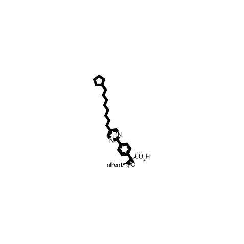 CCCCC[C@@H]1O[C@]1(C(=O)O)c1ccc(-c2ncc(CCCCCCCCC3CCCC3)cn2)cc1